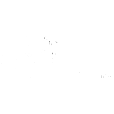 CCCCCCCCCCCCCCCCCCOCC(COC(c1ccccc1)(c1ccccc1)c1ccccc1)OC(=O)N(C)C